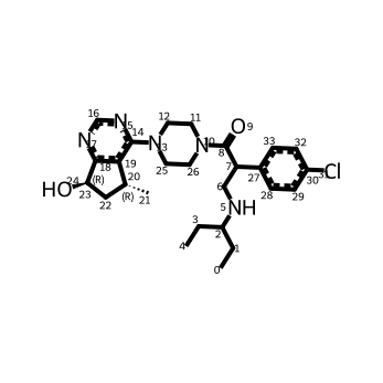 CCC(CC)NCC(C(=O)N1CCN(c2ncnc3c2[C@H](C)C[C@H]3O)CC1)c1ccc(Cl)cc1